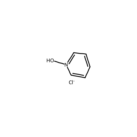 O[n+]1ccccc1.[Cl-]